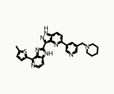 Cc1ccc(-c2nccc3[nH]c(-c4n[nH]c5ccc(-c6cncc(CN7CCCCC7)c6)nc45)nc23)s1